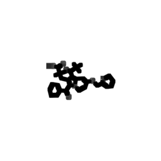 CC(C)(C)C(=O)c1c(CC(C)(C)C(=O)O)c(C(=O)c2ccccc2)n2ccc(OCc3ccccn3)cc12